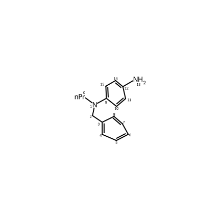 CCCN(Cc1ccccc1)c1ccc(N)cc1